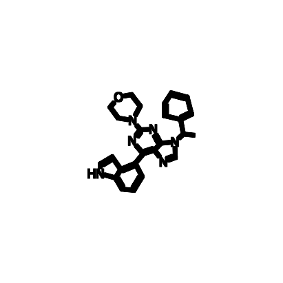 CC(c1ccccc1)n1cnc2c(-c3cccc4[nH]ccc34)nc(N3CCOCC3)nc21